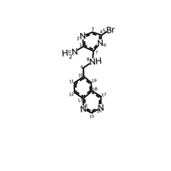 Nc1ncc(Br)nc1NCc1ccc2ncncc2c1